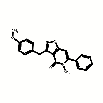 COc1ccc(Cc2noc3cc(-c4ccccc4)n(C)c(=O)c23)cc1